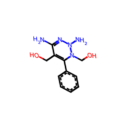 NC1=NN(N)N(CO)C(c2ccccc2)=C1CO